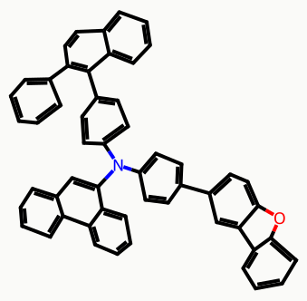 c1ccc(-c2ccc3ccccc3c2-c2ccc(N(c3ccc(-c4ccc5oc6ccccc6c5c4)cc3)c3cc4ccccc4c4ccccc34)cc2)cc1